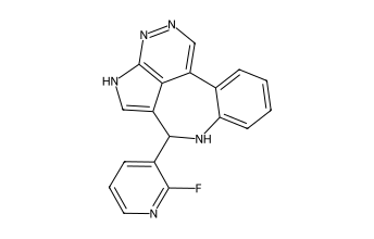 Fc1ncccc1C1Nc2ccccc2-c2cnnc3[nH]cc1c23